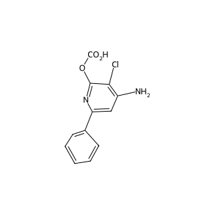 Nc1cc(-c2ccccc2)nc(OC(=O)O)c1Cl